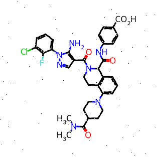 CN(C)C(=O)C1CCN(c2cccc3c2CCN(C(=O)c2cnn(-c4cccc(Cl)c4F)c2N)C3C(=O)Nc2ccc(C(=O)O)cc2)CC1